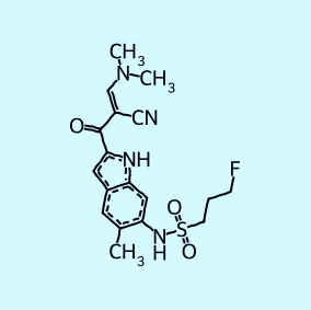 Cc1cc2cc(C(=O)/C(C#N)=C/N(C)C)[nH]c2cc1NS(=O)(=O)CCCF